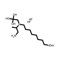 CCCCCCCCCCCCCCCCCCN(CC(O)(O)O)C(C)CN.F.F